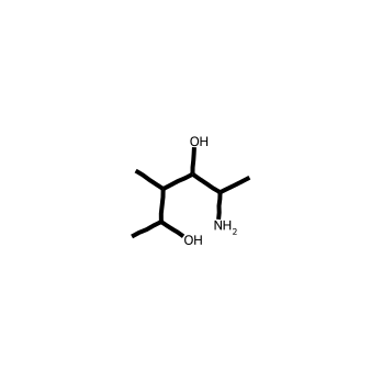 CC(N)C(O)C(C)C(C)O